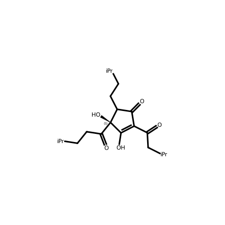 CC(C)CCC(=O)[C@@]1(O)C(O)=C(C(=O)CC(C)C)C(=O)C1CCC(C)C